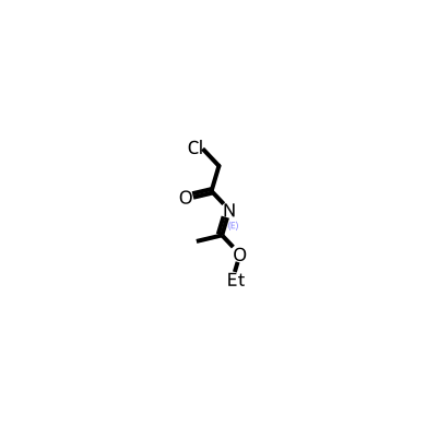 CCO/C(C)=N/C(=O)CCl